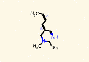 C/C=C\C=C(/C=N)CN(C)CC(C)(C)C